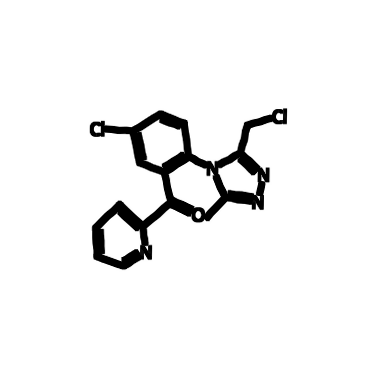 Cc1nnc(CCl)n1-c1ccc(Cl)cc1C(=O)c1ccccn1